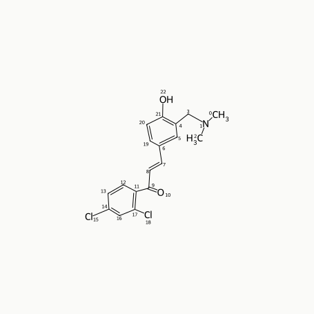 CN(C)Cc1cc(C=CC(=O)c2ccc(Cl)cc2Cl)ccc1O